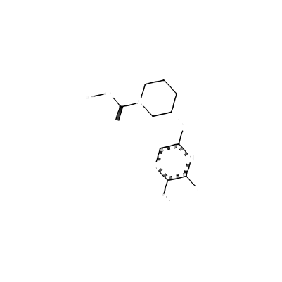 CC(C)(C)OC(=O)N1CCC[C@H](Nc2cnc(C#N)c(Cl)n2)C1